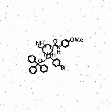 COc1ccc(NC(=O)N2CCC(CN)CN3[C@H](COC(c4ccccc4)(c4ccccc4)c4ccccc4)[C@H](c4ccc(Br)cc4)[C@@H]3C2)cc1